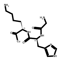 NCCCC[C@H](NC(=O)[C@H](Cc1c[nH]cn1)NC(=O)CN)[C](=O)[Cu]